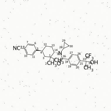 CC1(C)C[C@@H](c2ccc(C#N)cc2)CC[C@@H]1N(C(=O)c1ccc([C@](C)(O)C(F)(F)F)cc1)C1CC1